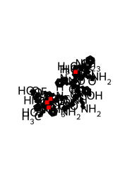 CCCC[C@@H](C(=O)N1C[C@H](O)C[C@@H]1C(=O)N[C@H](C=O)CC(=O)O)N(C)C(=O)[C@H](Cc1ccccc1)N(C)C(=O)[C@H](Cc1cc(F)c(F)c(F)c1)NC(=O)CSC[C@H](NC(=O)[C@H](CCCCN)NC(=O)[C@H](Cc1ccc(O)cc1)NC(=O)[C@H](Cc1c[nH]c2ccccc12)NC(=O)[C@H]1C[C@@H](O)CN1C(=O)[C@H](CCC(N)=O)NC(=O)C(Cc1ccccc1)N(C)C(=O)[C@@H](N)C(C)C)C(=O)NCC(N)=O